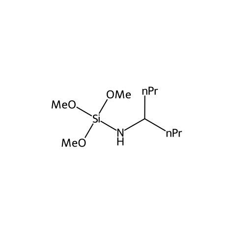 CCCC(CCC)N[Si](OC)(OC)OC